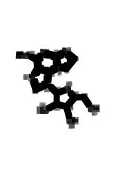 CSc1nc2nccn2c2c1ncn2C1OC(CO)C(O)C1O